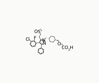 C[S+]([O-])CCc1c(-c2cccc(Cl)c2F)c(-c2ccccc2)nn1C[C@H]1CC[C@H](COCC(=O)O)CC1